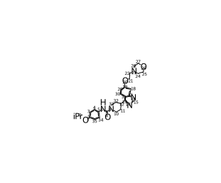 CC(C)Oc1ccc(NC(=O)N2CCC(c3ncnc4cc(OCCN5CCOCC5)ccc34)CC2)cc1